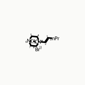 CCCC=C[N+]12CCN(CC1)CC2.[Br-]